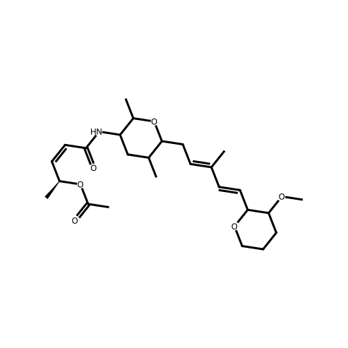 COC1CCCOC1/C=C/C(C)=C/CC1OC(C)C(NC(=O)/C=C\[C@H](C)OC(C)=O)CC1C